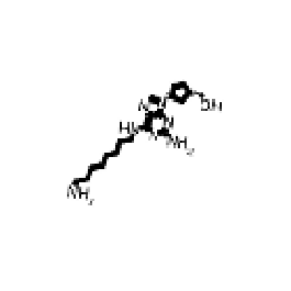 NCCCCCCCCNc1nc(N)nc2c1ncn2[C@@H]1C=C[C@H](CO)C1